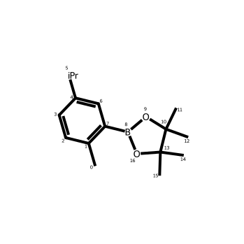 Cc1ccc(C(C)C)cc1B1OC(C)(C)C(C)(C)O1